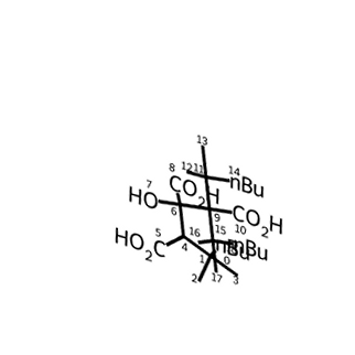 CCCCC(C)(C)C(C(=O)O)C(O)(C(=O)O)C(C(=O)O)(C(C)(C)CCCC)C(C)(C)CCCC